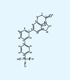 O=C1CCc2cc(-c3cncc(-c4ccc(C(F)(F)F)cc4)c3)cc3c2N1CC3